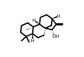 C=C1[C@H]2CC[C@H]3[C@]4(C)CCCC(C)(C)[C@H]4CC[C@]3(C2)[C@H]1O